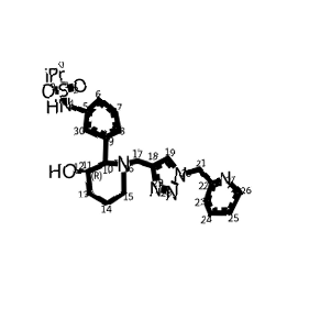 [CH2]C(C)S(=O)(=O)Nc1cccc(C2[C@H](O)CCCN2Cc2cn(Cc3ccccn3)nn2)c1